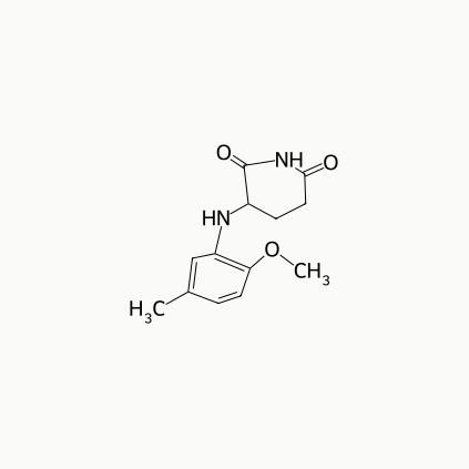 COc1ccc(C)cc1NC1CCC(=O)NC1=O